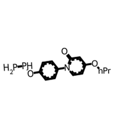 CCCOc1ccn(-c2ccc(OPP)cc2)c(=O)c1